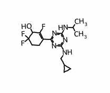 CC(C)Nc1nc(NCC2CC2)nc(C2=C(F)C(O)C(F)(F)CC2)n1